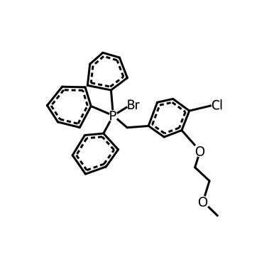 COCCOc1cc(CP(Br)(c2ccccc2)(c2ccccc2)c2ccccc2)ccc1Cl